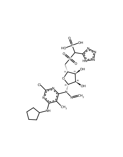 C=NN(c1nc(Cl)nc(NC2CCCC2)c1C)[C@@H]1O[C@H](CS(=O)(=O)C(c2nnn[nH]2)P(=O)(O)O)[C@@H](O)[C@H]1O